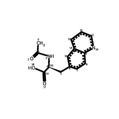 CC(=O)N[C@@H](Cc1ccc2ncccc2c1)C(=O)O